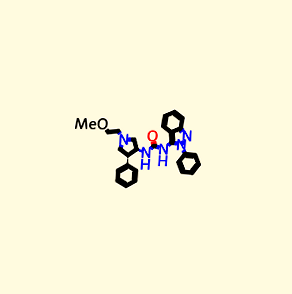 COCCN1C[C@@H](NC(=O)Nc2c3ccccc3nn2-c2ccccc2)[C@H](c2ccccc2)C1